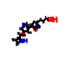 OCCCc1cc(-c2cncc(OC[C@@H]3CCN3)c2)on1